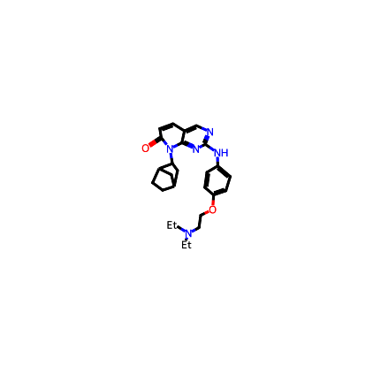 CCN(CC)CCOc1ccc(Nc2ncc3ccc(=O)n(C4CC5CCC4C5)c3n2)cc1